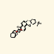 O=C(O)C1CC2CCCC(C1)N2CCc1ccc2c(Cl)c(O[C@H]3CC[C@@H](C(F)(F)F)CC3)ccc2c1